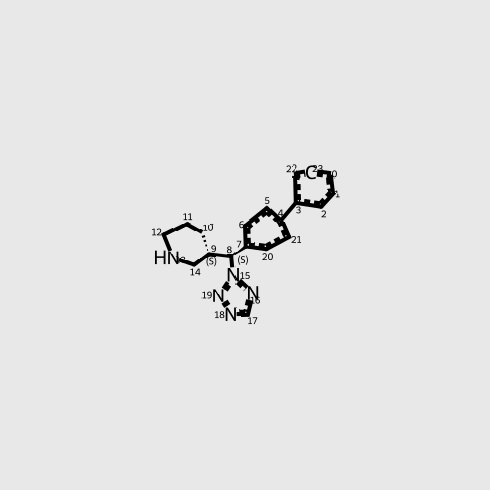 c1ccc(-c2ccc([C@H]([C@H]3CCCNC3)n3ncnn3)cc2)cc1